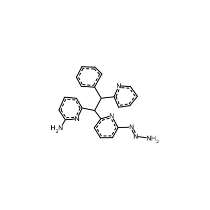 NN=Nc1cccc(C(c2cccc(N)n2)C(c2ccccc2)c2ccccn2)n1